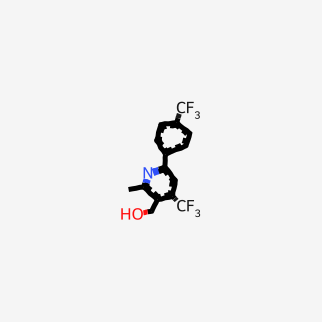 Cc1nc(-c2ccc(C(F)(F)F)cc2)cc(C(F)(F)F)c1CO